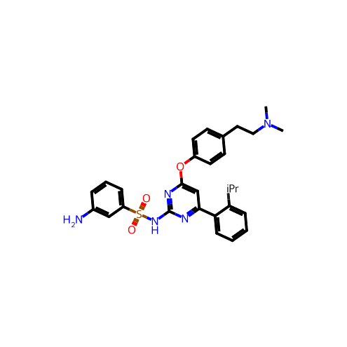 CC(C)c1ccccc1-c1cc(Oc2ccc(CCN(C)C)cc2)nc(NS(=O)(=O)c2cccc(N)c2)n1